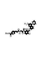 CNC(=O)c1ccc(C=CC(=O)NCC(=O)N(C)c2ccc(Cl)c(COc3cccc4c(N5CCCCC5)cc(C)nc34)c2Cl)cn1